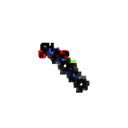 CC(=O)NC[C@H]1CN(c2ccc(N3CCN(c4ccccc4)CC3)c(F)c2)C(=O)O1